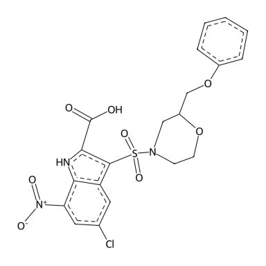 O=C(O)c1[nH]c2c([N+](=O)[O-])cc(Cl)cc2c1S(=O)(=O)N1CCOC(COc2ccccc2)C1